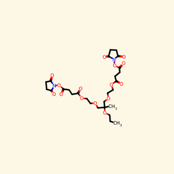 CCCOC(C)(COCCOC(=O)CCC(=O)ON1C(=O)CCC1=O)COCCOC(=O)CCC(=O)ON1C(=O)CCC1=O